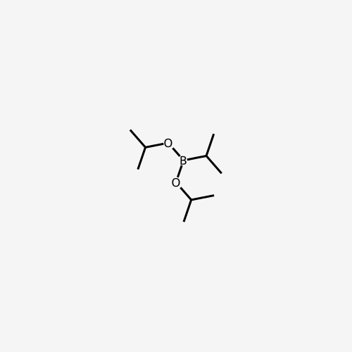 CC(C)OB(OC(C)C)C(C)C